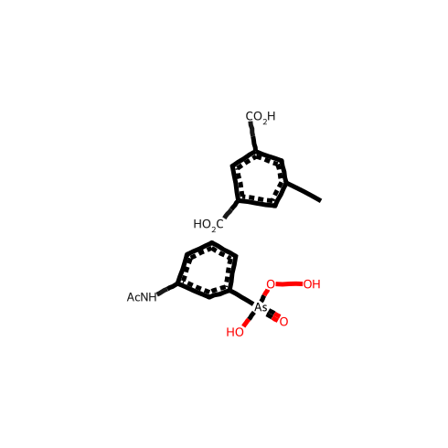 CC(=O)Nc1cccc([As](=O)(O)OO)c1.Cc1cc(C(=O)O)cc(C(=O)O)c1